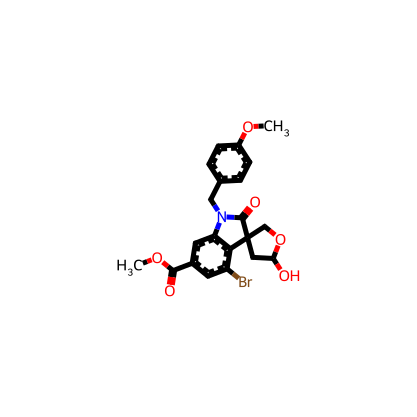 COC(=O)c1cc(Br)c2c(c1)N(Cc1ccc(OC)cc1)C(=O)C21COC(O)C1